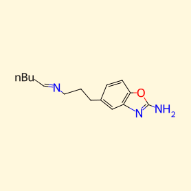 CCCC/C=N/CCCc1ccc2oc(N)nc2c1